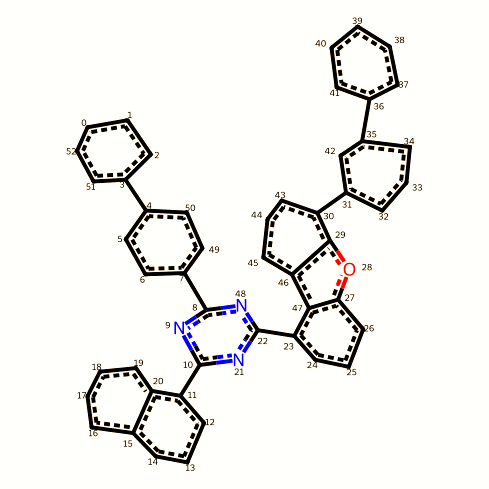 c1ccc(-c2ccc(-c3nc(-c4cccc5ccccc45)nc(-c4cccc5oc6c(-c7cccc(-c8ccccc8)c7)cccc6c45)n3)cc2)cc1